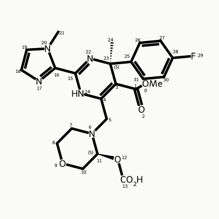 COC(=O)C1=C(CN2CCOC[C@@H]2OC(=O)O)NC(c2nccn2C)=N[C@@]1(C)c1ccc(F)cc1